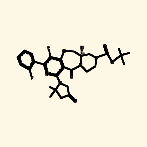 CC(C)(C)OC(=O)N1CCN2C(=O)c3c(N4CC(=O)CC4(C)C)nc(-c4ccccc4F)c(F)c3OC[C@H]2C1